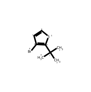 CC(C)(C)c1sccc1Br